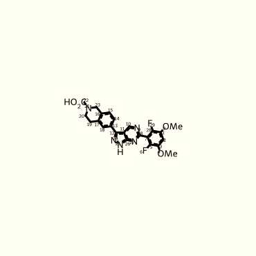 COc1cc(OC)c(F)c(-c2ncc3c(-c4ccc5c(c4)CCN(C(=O)O)C5)n[nH]c3n2)c1F